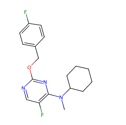 CN(c1nc(OCc2ccc(F)cc2)ncc1F)C1CCCCC1